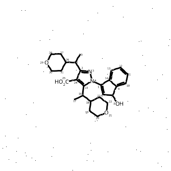 CC(c1nn(C2=CC(O)c3ccccc32)c(C(C)C2CCOCC2)c1C(=O)O)C1CCOCC1